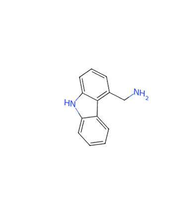 NCc1cccc2[nH]c3ccccc3c12